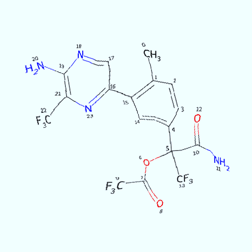 Cc1ccc(C(OC(=O)C(F)(F)F)(C(N)=O)C(F)(F)F)cc1-c1cnc(N)c(C(F)(F)F)n1